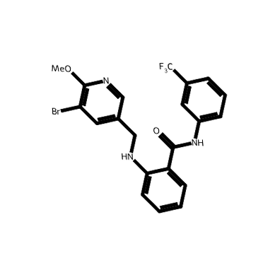 COc1ncc(CNc2ccccc2C(=O)Nc2cccc(C(F)(F)F)c2)cc1Br